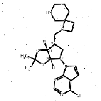 CC1(C)O[C@@H]2[C@@H](CN3CCC34CCCNC4)C[C@@H](n3ccc4c(Cl)ncnc43)[C@@H]2O1